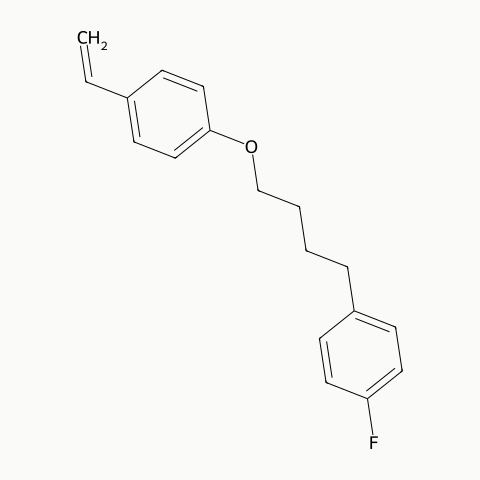 C=Cc1ccc(OCCCCc2ccc(F)cc2)cc1